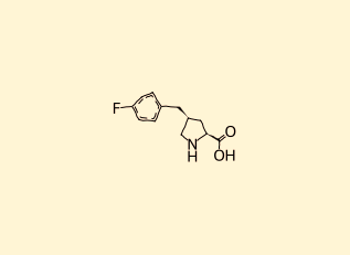 O=C(O)[C@@H]1C[C@H](Cc2ccc(F)cc2)CN1